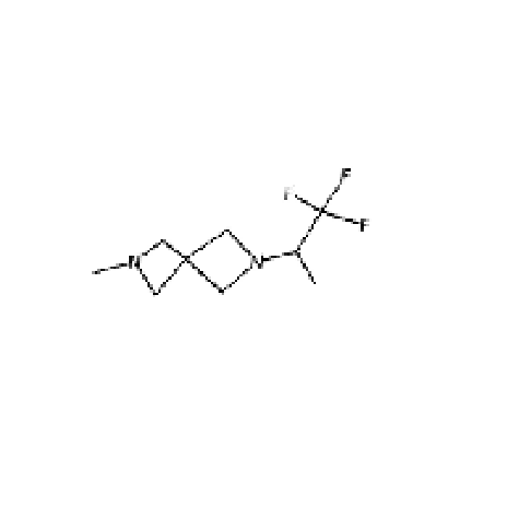 CC(N1CC2(CN(C)C2)C1)C(F)(F)F